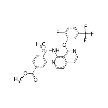 COC(=O)c1ccc([C@H](C)Nc2nccc3ccnc(Oc4cc(C(F)(F)F)ccc4F)c23)cc1